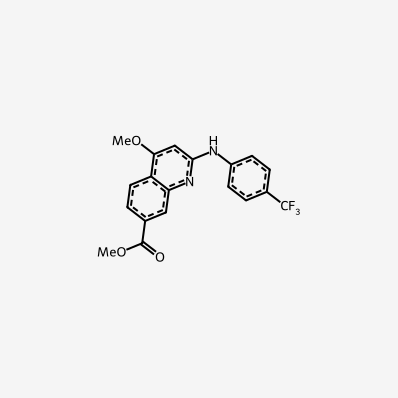 COC(=O)c1ccc2c(OC)cc(Nc3ccc(C(F)(F)F)cc3)nc2c1